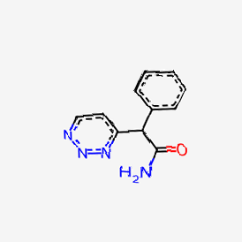 NC(=O)C(c1ccccc1)c1ccnnn1